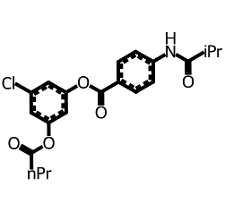 CCCC(=O)Oc1cc(Cl)cc(OC(=O)c2ccc(NC(=O)C(C)C)cc2)c1